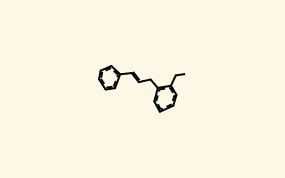 CCc1ccccc1CC=Cc1ccccc1